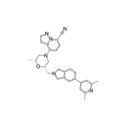 Cc1cc(-c2ccc3cn(C[C@H]4CN(c5ccc(C#N)n6nccc56)C[C@@H](C)O4)cc3c2)cc(C)n1